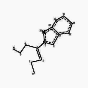 CCC=C(CCC)n1cc2ccccc2n1